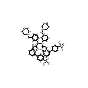 CS(=O)(=O)c1ccc(-c2cccc3nc(N(c4cccc(CN5CCOCC5)c4)N(c4cccc(CN5CCOCC5)c4)c4nc5cccc(-c6ccc(S(C)(=O)=O)cc6)n5n4)nn23)cc1